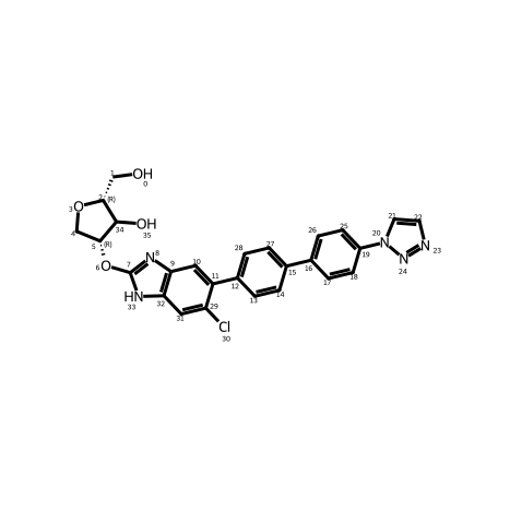 OC[C@H]1OC[C@@H](Oc2nc3cc(-c4ccc(-c5ccc(-n6ccnn6)cc5)cc4)c(Cl)cc3[nH]2)C1O